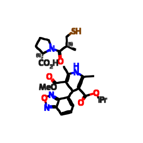 COC(=O)C1=C(C)NC(C)=C(C(=O)OC(C)C)C1c1cccc2nonc12.C[C@H](CS)C(=O)N1CCC[C@H]1C(=O)O